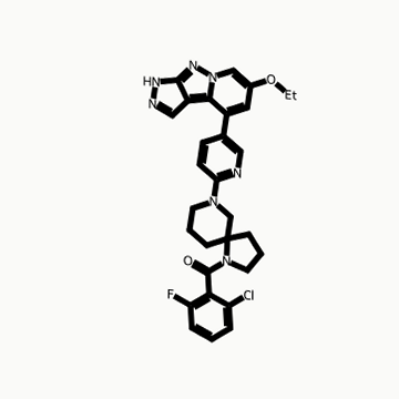 CCOc1cc(-c2ccc(N3CCCC4(CCCN4C(=O)c4c(F)cccc4Cl)C3)nc2)c2c3cn[nH]c3nn2c1